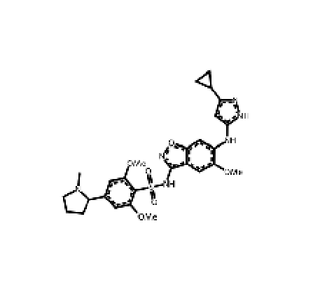 COc1cc2c(NS(=O)(=O)c3c(OC)cc(C4CCCN4C)cc3OC)noc2cc1Nc1cc(C2CC2)n[nH]1